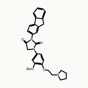 COc1cc(N2CC(=O)N(c3ccc4c(c3)Cc3ccccc3-4)C2=O)ccc1OCCN1CCCC1